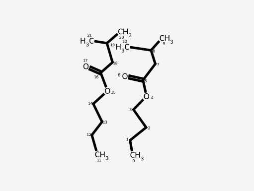 CCCCOC(=O)CC(C)C.CCCCOC(=O)CC(C)C